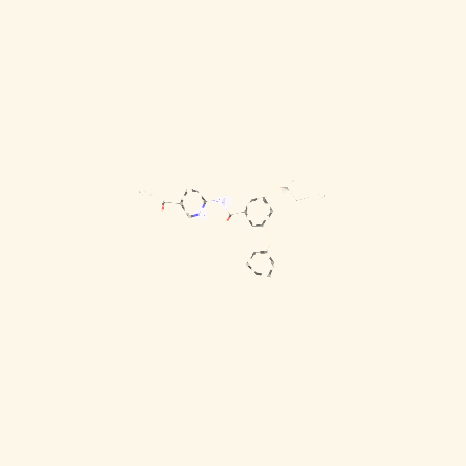 COC[C@H](C)Oc1cc(Oc2cccc(C)c2)cc(C(=O)Nc2ccc(C(=O)OC)cn2)c1